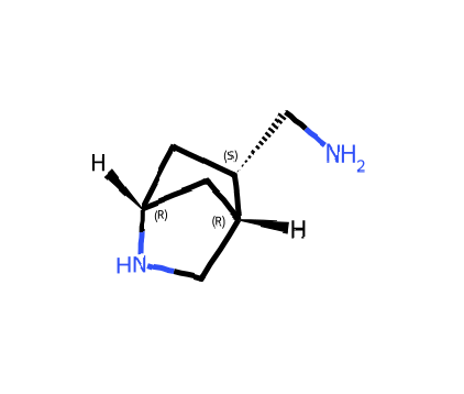 NC[C@H]1C[C@@H]2C[C@H]1CN2